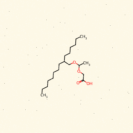 CCCCCCCCC(CCCCCC)COC(C)OCC(=O)O